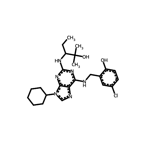 CCC(Nc1nc(NCc2cc(Cl)ccc2O)c2ncn(C3CCCCC3)c2n1)C(C)(C)O